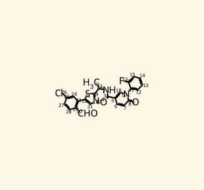 C[C@@H](NC(=O)c1ccc(=O)n(-c2ccccc2F)c1)c1ncc(-c2cc(Cl)ccc2C=O)s1